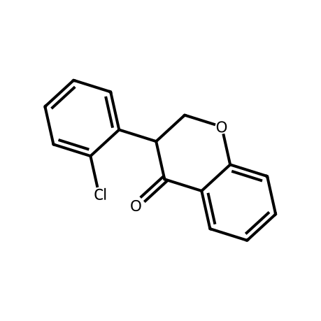 O=C1c2ccccc2OCC1c1ccccc1Cl